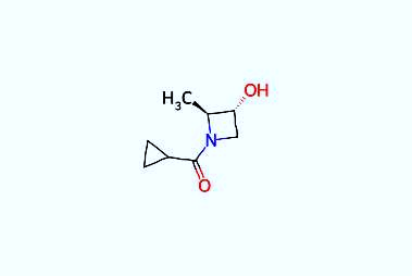 C[C@H]1[C@H](O)CN1C(=O)C1CC1